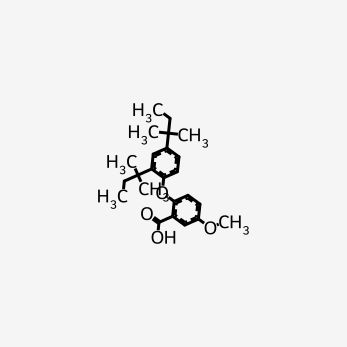 CCC(C)(C)c1ccc(Oc2ccc(OC)cc2C(=O)O)c(C(C)(C)CC)c1